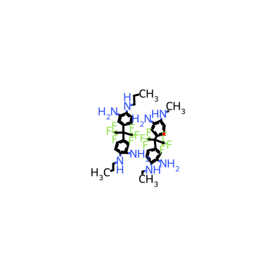 CCCNc1ccc(C(c2ccc(NCCC)c(N)c2)(C(F)(F)F)C(F)(F)F)cc1N.CCNc1ccc(C(c2ccc(NCC)c(N)c2)(C(F)(F)F)C(F)(F)F)cc1N